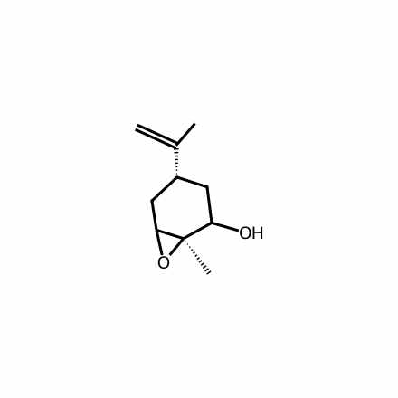 C=C(C)[C@@H]1CC(O)[C@@]2(C)OC2C1